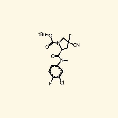 CN(C(=O)[C@@H]1C[C@](F)(C#N)CN1C(=O)OC(C)(C)C)c1ccc(F)c(Cl)c1